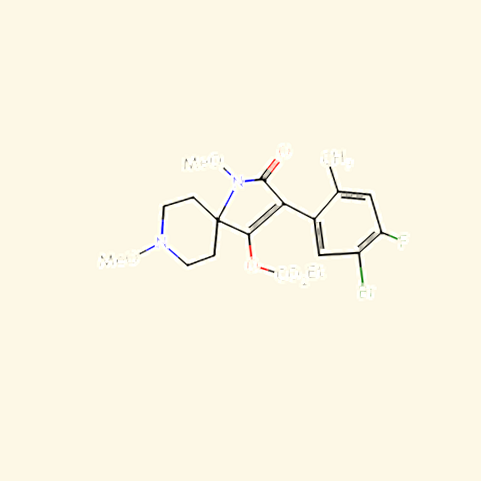 CCOC(=O)OC1=C(c2cc(Br)c(F)cc2C)C(=O)N(OC)C12CCN(OC)CC2